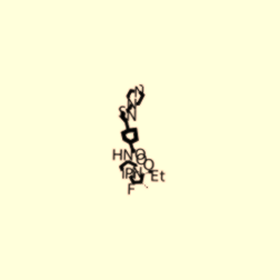 CCC(=O)[C@@H]1[C@H](C)[C@@H](F)CN1C(=O)C(CC(C)C)NC(=O)c1ccc(-c2csc(N3CCN(C)CC3)n2)cc1